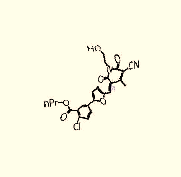 CCCOC(=O)c1cc(-c2ccc(/C=C3\C(=O)N(CCO)C(=O)C(C#N)=C3C)o2)ccc1Cl